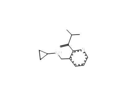 CC(C)C(=O)c1ncccc1CNC1CC1